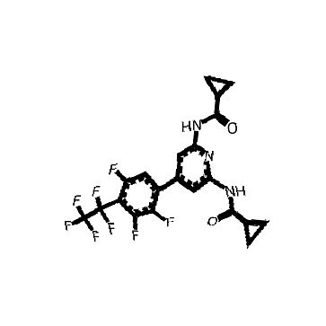 O=C(Nc1cc(-c2cc(F)c(C(F)(F)C(F)(F)F)c(F)c2F)cc(NC(=O)C2CC2)n1)C1CC1